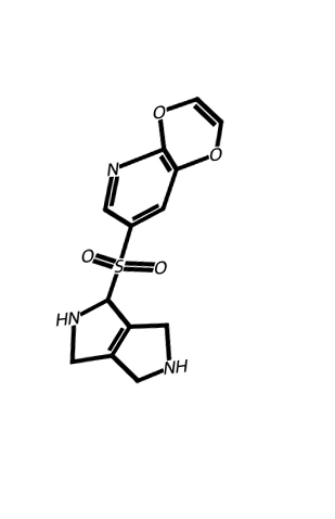 O=S(=O)(c1cnc2c(c1)OC=CO2)C1NCC2=C1CNC2